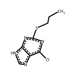 CCCSc1nc(Cl)c2nc[nH]c2n1